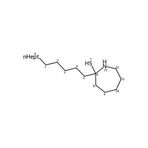 CCCCCCCCCCCCC1(S)CCCCCN1